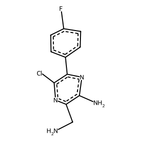 NCc1nc(Cl)c(-c2ccc(F)cc2)nc1N